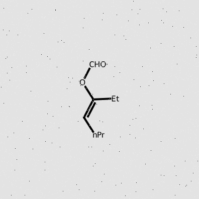 CCC/C=C(\CC)O[C]=O